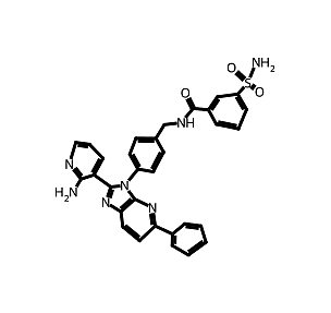 Nc1ncccc1-c1nc2ccc(-c3ccccc3)nc2n1-c1ccc(CNC(=O)c2cccc(S(N)(=O)=O)c2)cc1